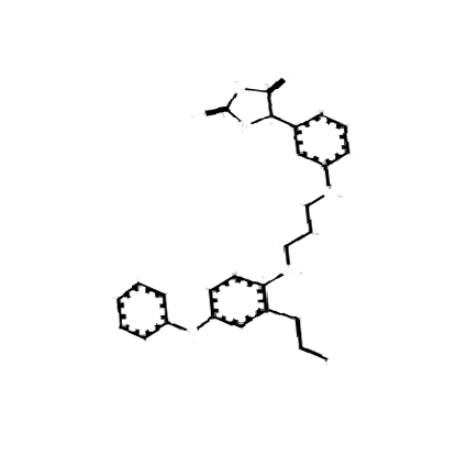 CCCc1cc(Oc2ccccc2)ccc1OCCCOc1cccc(C2NC(=O)SC2=O)c1